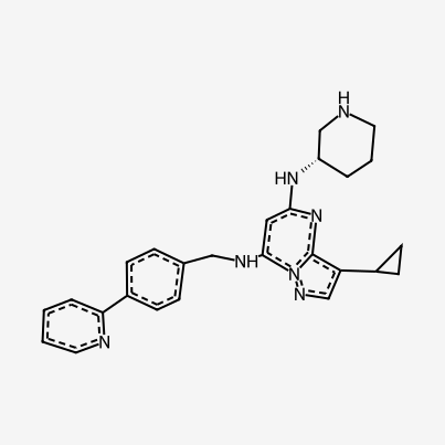 c1ccc(-c2ccc(CNc3cc(N[C@H]4CCCNC4)nc4c(C5CC5)cnn34)cc2)nc1